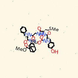 COC(=O)C12CC3CC(CC(NC(=O)[C@H](Cc4ccccc4)NC(=O)CNC(=O)[C@H](CCSC)NC(=O)[C@H](Cc4ccc(O)cc4)NC(=O)OC(C)(C)C)(C3)C1)C2